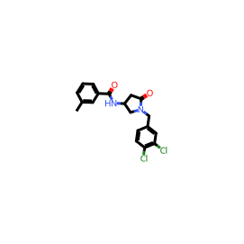 Cc1cccc(C(=O)NC2CC(=O)N(Cc3ccc(Cl)c(Cl)c3)C2)c1